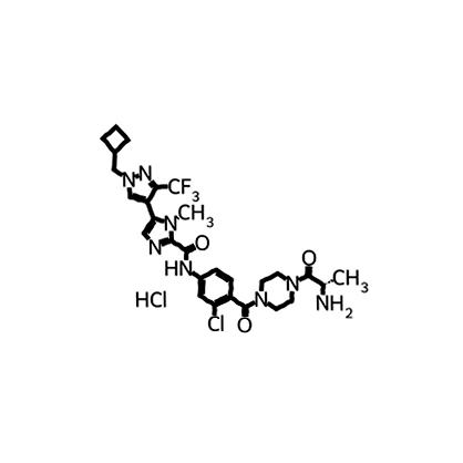 C[C@H](N)C(=O)N1CCN(C(=O)c2ccc(NC(=O)c3ncc(-c4cn(CC5CCC5)nc4C(F)(F)F)n3C)cc2Cl)CC1.Cl